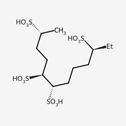 CC[C@@H](CCC[C@@H]([C@H](CC[C@@H](C)S(=O)(=O)O)S(=O)(=O)O)S(=O)(=O)O)S(=O)(=O)O